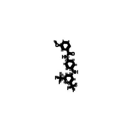 COc1cccc(C(=O)Nc2ccc(Nc3cc(C(F)(F)F)nc(C(F)(F)F)c3)cc2)c1